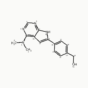 CN(C)c1ncnc2[nH]c(-c3ccc(CO)cc3)cc12